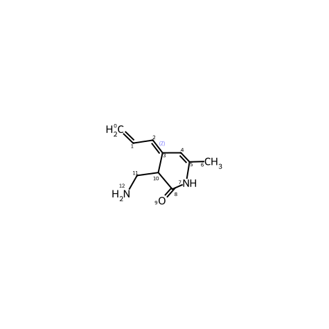 C=C/C=C1/C=C(C)NC(=O)C1CN